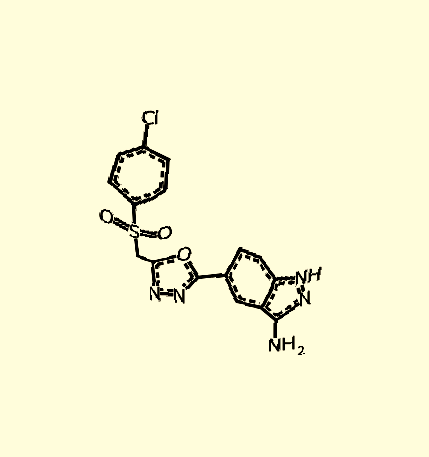 Nc1n[nH]c2ccc(-c3nnc(CS(=O)(=O)c4ccc(Cl)cc4)o3)cc12